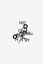 CCCCC(Cc1ccc(O)cc1)C(=O)NC(=O)[C@H](Cc1ccccc1)NC(=O)[C@@H](N)CC(C)C